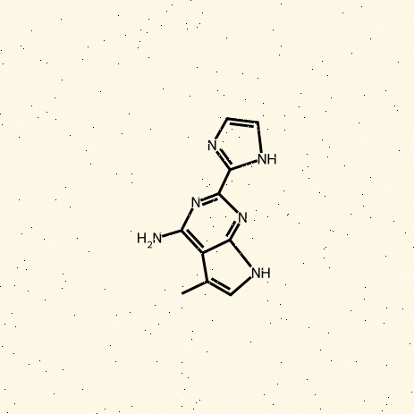 Cc1c[nH]c2nc(-c3ncc[nH]3)nc(N)c12